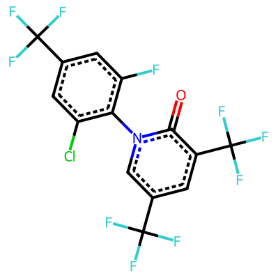 O=c1c(C(F)(F)F)cc(C(F)(F)F)cn1-c1c(F)cc(C(F)(F)F)cc1Cl